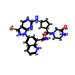 N#Cc1cc(-n2nc(Br)c3cnc(N[C@@H]4CC[C@@H](C(=O)N5CCNC(=O)C5)C4)nc32)cc2cccnc12